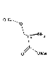 COC(=O)[C@@H](N)COC=O